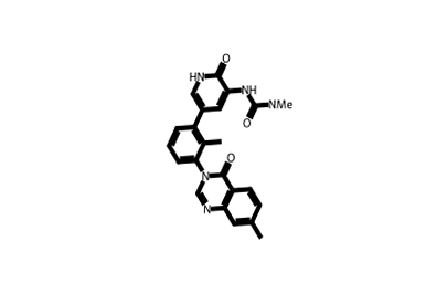 CNC(=O)Nc1cc(-c2cccc(-n3cnc4cc(C)ccc4c3=O)c2C)c[nH]c1=O